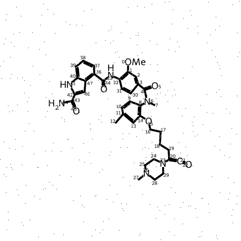 COc1cc(C(=O)N(C)c2ccc(C)cc2OCCCCC(=C=O)N2CCN(C)CC2)ccc1NC(=O)c1cccc2[nH]c(C(N)=O)cc12